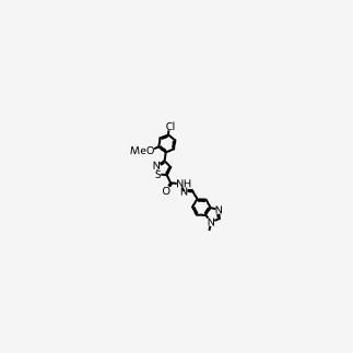 COc1cc(Cl)ccc1-c1cc(C(=O)N/N=C/c2ccc3c(c2)ncn3C)sn1